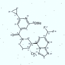 COc1cc(C(=O)N2CC[C@@H](C)[C@H](c3cc(C(F)F)nc4ncnn34)C2)cc(C2CC2)n1